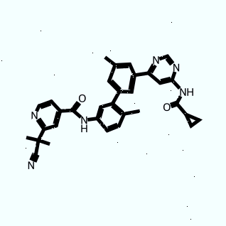 Cc1cc(-c2cc(NC(=O)C3CC3)ncn2)cc(-c2cc(NC(=O)c3ccnc(C(C)(C)C#N)c3)ccc2C)c1